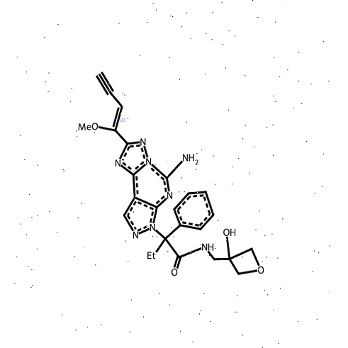 C#C/C=C(\OC)c1nc2c3cnn(C(CC)(C(=O)NCC4(O)COC4)c4ccccc4)c3nc(N)n2n1